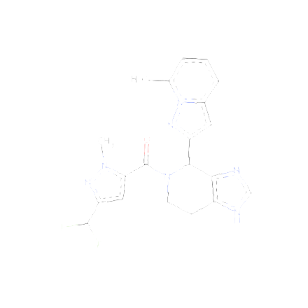 Cc1cccc2cc(C3c4nc[nH]c4CCN3C(=O)c3cc(C(F)F)nn3C)nn12